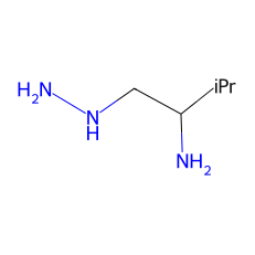 CC(C)C(N)CNN